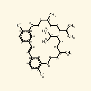 CC(C)CCCC(C)CCOc1cc(/C=C/c2ccc(Br)c(OCCC(C)CCCC(C)C)c2)ccc1Br